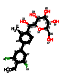 C=Cc1c(F)cc(-c2ccc([C@@H](O)[C@H]3O[C@H](CO)[C@@H](O)[C@H](O)[C@@H]3O)c(C)c2)cc1F